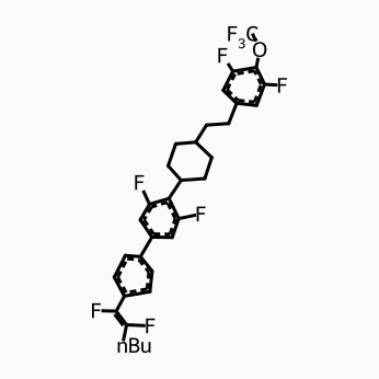 CCCC/C(F)=C(\F)c1ccc(-c2cc(F)c(C3CCC(CCc4cc(F)c(OC(F)(F)F)c(F)c4)CC3)c(F)c2)cc1